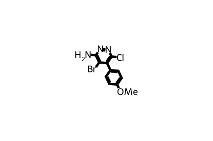 COc1ccc(-c2c(Cl)nnc(N)c2Br)cc1